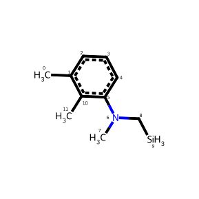 Cc1cccc(N(C)C[SiH3])c1C